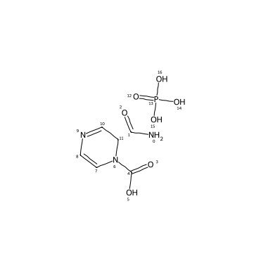 NC=O.O=C(O)N1C=CN=CC1.O=P(O)(O)O